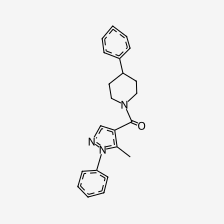 Cc1c(C(=O)N2CCC(c3ccccc3)CC2)cnn1-c1ccccc1